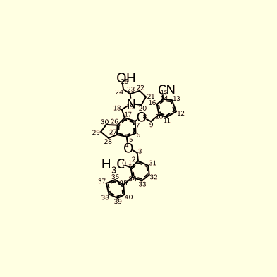 Cc1c(COc2cc(OCc3cccc(C#N)c3)c(CN3CCCC3CO)c3c2CCC3)cccc1-c1ccccc1